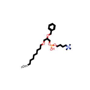 CCCCCCCCCCCCCCCCCCOCC(COP(O)OCCCC[N+](C)(C)C)OCc1ccccc1